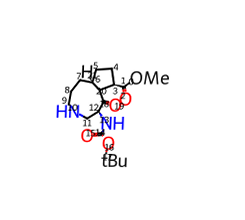 COC(=O)[C@@H]1CC[C@@H]2CCCNC[C@H](NC(=O)OC(C)(C)C)C(=O)C21